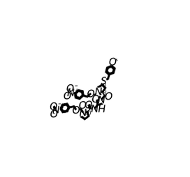 COc1ccc(CS[C@H]2C[C@@H](C(=O)N3CC(NC(=O)[C@H]4CCCN4C(=O)OCc4ccc([N+](=O)[O-])cc4)C3)N(C(=O)OCc3ccc([N+](=O)[O-])cc3)C2)cc1